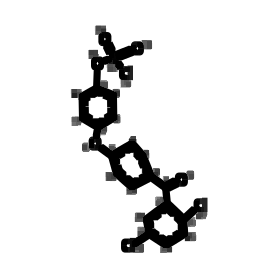 O=C(c1ccc(Oc2ccc(OS(=O)(=O)Cl)cc2)cc1)c1cc(Cl)ccc1Cl